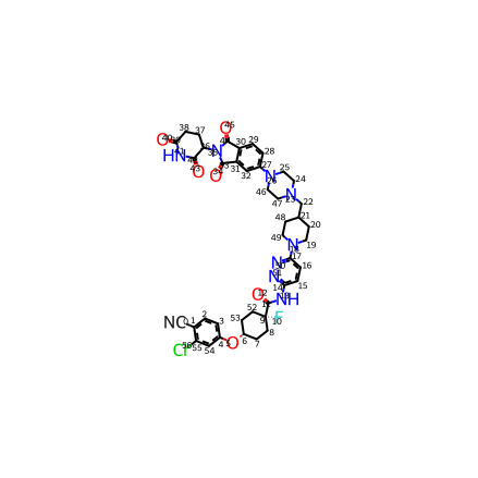 N#Cc1ccc(O[C@H]2CC[C@](F)(C(=O)Nc3ccc(N4CCC(CN5CCN(c6ccc7c(c6)C(=O)N(C6CCC(=O)NC6=O)C7=O)CC5)CC4)nn3)CC2)cc1Cl